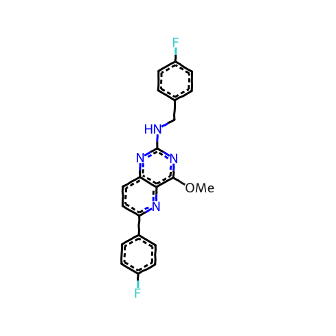 COc1nc(NCc2ccc(F)cc2)nc2ccc(-c3ccc(F)cc3)nc12